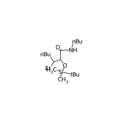 CCCCNC(=O)C(O[Si](C)(C)C(C)(C)C)C(CC)CCCC